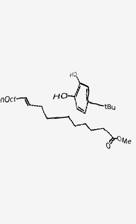 CC(C)(C)c1ccc(O)c(O)c1.CCCCCCCCC=CCCCCCCCC(=O)OC